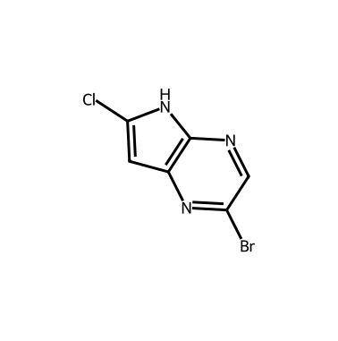 Clc1cc2nc(Br)cnc2[nH]1